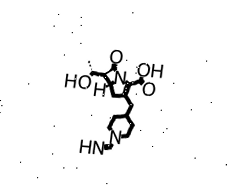 C[C@@H](O)[C@H]1C(=O)N2C(C(=O)O)=C(CC3CCN(C=N)CC3)C[C@H]12